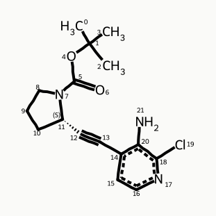 CC(C)(C)OC(=O)N1CCC[C@H]1C#Cc1ccnc(Cl)c1N